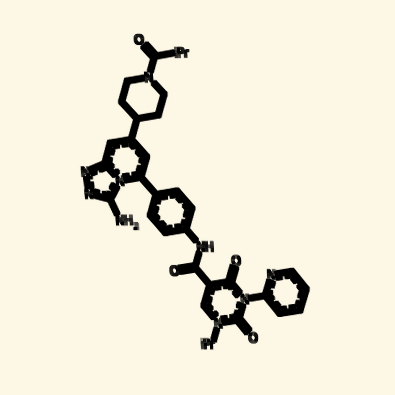 CC(C)C(=O)N1CCC(c2cc(-c3ccc(NC(=O)c4cn(C(C)C)c(=O)n(-c5ccccn5)c4=O)cc3)n3c(N)nnc3c2)CC1